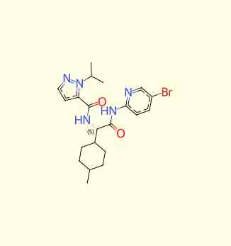 CC1CCC([C@H](NC(=O)c2ccnn2C(C)C)C(=O)Nc2ccc(Br)cn2)CC1